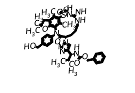 Cc1c2c(c3c(C)c1S(=O)(=O)NC(=N)NCCC[C@H](n1cc([C@@H](NC(=O)OCc4ccccc4)C(C)C)nn1)C(=O)N3c1ccc(CO)cc1)OC(C)(C)C2